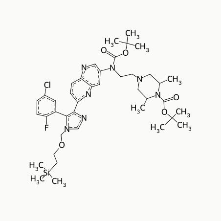 CC1CN(CCN(C(=O)OC(C)(C)C)c2cnc3ccc(-c4ncn(COCC[Si](C)(C)C)c4-c4cc(Cl)ccc4F)nc3c2)CC(C)N1C(=O)OC(C)(C)C